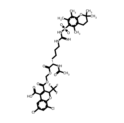 CC(=O)N[C@@H](CCCCNC(=N)NS(=O)(=O)c1c(C)c(C)c2c(c1C)CCC(C)(C)O2)C(=O)OCOC(=O)C1=C(C(=O)O)c2cc(Cl)cc(Cl)c2OC1C(F)(F)F